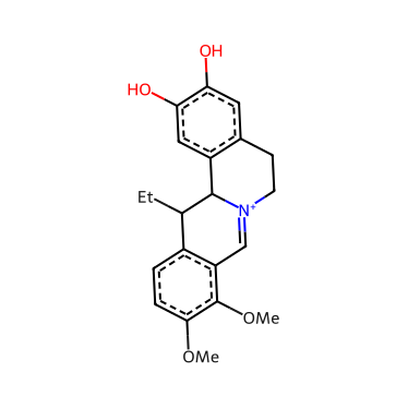 CCC1c2ccc(OC)c(OC)c2C=[N+]2CCc3cc(O)c(O)cc3C12